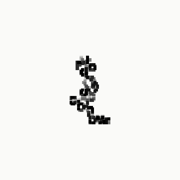 COCOC1OC(=O)C2OC3(OC12)C1CC2CC3CC(OC(=O)C(C)(F)F)(C2)C1